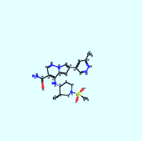 CC[C@@H]1CN(S(C)(=O)=O)CC[C@H]1Nc1c(C(N)=O)cnn2cc(-c3cnnc(C)c3)cc12